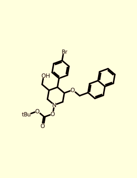 CC(C)(C)OC(=O)ON1CC(CO)C(c2ccc(Br)cc2)C(OCc2ccc3ccccc3c2)C1